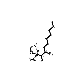 CCCCCCCC(F)C(C)[Si](OC)(OC)OC